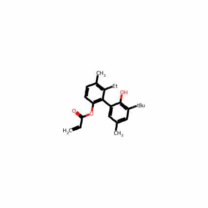 C=CC(=O)Oc1ccc(C)c(CC)c1-c1cc(C)cc(C(C)(C)C)c1O